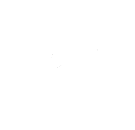 [CH2]C#C[C@@]1(O)CC[C@H]2[C@@H]3CCC4=CC(=O)CCC4=C3[C@@H](c3ccc(N(C)C)cc3)C[C@@]21C